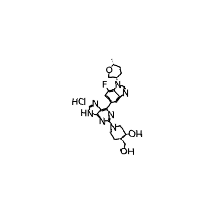 C[C@@H]1CC[C@H](n2cnc3cc(-c4nc(N5CC[C@H](CO)[C@@H](O)C5)nc5[nH]cnc45)cc(F)c32)CO1.Cl